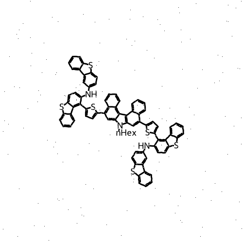 CCCCCCn1c2cc(-c3ccc(-c4c(Nc5ccc6sc7ccccc7c6c5)ccc5sc6ccccc6c45)s3)c3ccccc3c2c2c3ccccc3c(-c3ccc(-c4c(Nc5ccc6sc7ccccc7c6c5)ccc5sc6ccccc6c45)s3)cc21